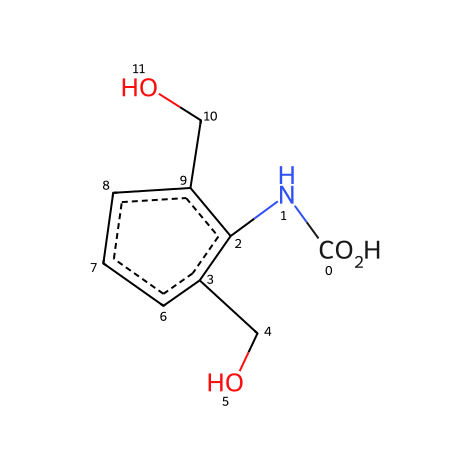 O=C(O)Nc1c(CO)cccc1CO